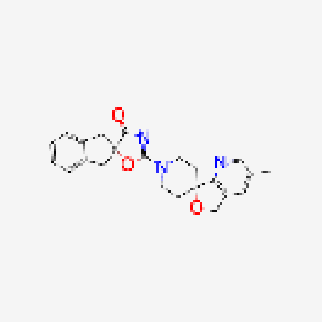 Cc1cnc2c(c1)COC21CCN(C2=NC(=O)C3(Cc4ccccc4C3)O2)CC1